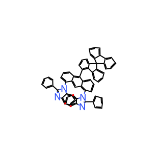 c1ccc(-c2nc3ccccc3n2-c2cccc3c(-c4cccc5c4-c4ccccc4C54c5ccccc5-c5ccccc54)c4cccc(-n5c(-c6ccccc6)nc6ccccc65)c4cc23)cc1